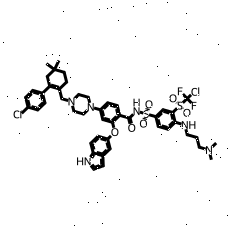 CN(C)CCCNc1ccc(S(=O)(=O)NC(=O)c2ccc(N3CCN(CC4=C(c5ccc(Cl)cc5)CC(C)(C)CC4)CC3)cc2Oc2ccc3[nH]ccc3c2)cc1S(=O)(=O)C(F)(F)Cl